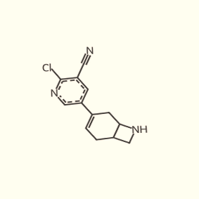 N#Cc1cc(C2=CCC3CNC3C2)cnc1Cl